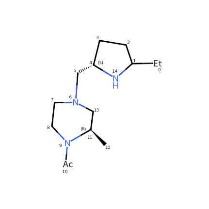 CCC1CC[C@@H](CN2CCN(C(C)=O)[C@H](C)C2)N1